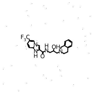 O=C(NCC(O)CN1CCc2ccccc2C1)C1=CN2C=C(C(F)(F)F)C=CC2N1